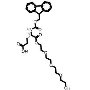 O=C(O)CC[C@H](NC(=O)OCC1c2ccccc2-c2ccccc21)C(=O)OCCOCCOCCOCCO